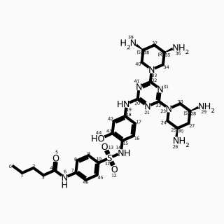 CCCCC(=O)Nc1ccc(S(=O)(=O)Nc2ccc(Nc3nc(N4C[C@H](N)C[C@H](N)C4)nc(N4C[C@H](N)C[C@H](N)C4)n3)cc2O)cc1